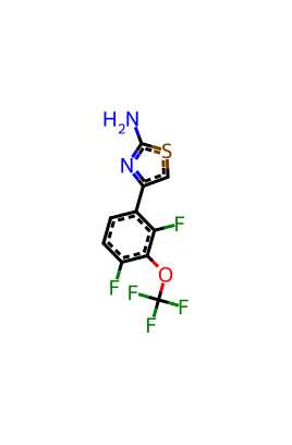 Nc1nc(-c2ccc(F)c(OC(F)(F)F)c2F)cs1